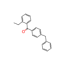 CCc1ccccc1C(=O)c1ccc(Cc2ccccc2)cc1